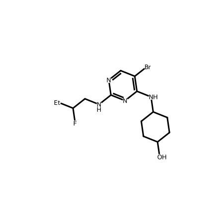 CCC(F)CNc1ncc(Br)c(NC2CCC(O)CC2)n1